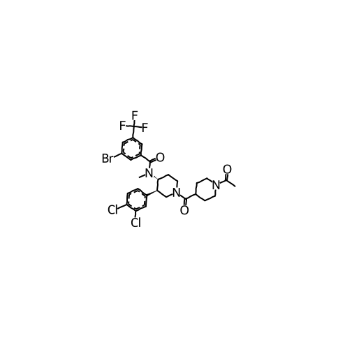 CC(=O)N1CCC(C(=O)N2CC[C@@H](N(C)C(=O)c3cc(Br)cc(C(F)(F)F)c3)[C@H](c3ccc(Cl)c(Cl)c3)C2)CC1